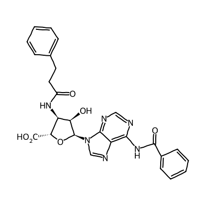 O=C(CCc1ccccc1)N[C@H]1[C@@H](O)[C@@H](n2cnc3c(NC(=O)c4ccccc4)ncnc32)O[C@@H]1C(=O)O